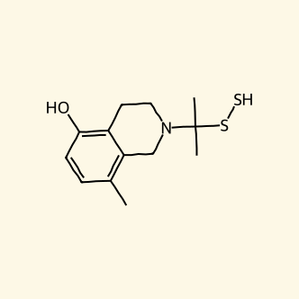 Cc1ccc(O)c2c1CN(C(C)(C)SS)CC2